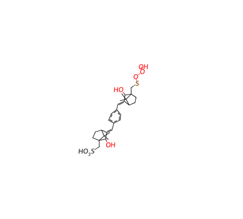 CC1(C)C2CCC1(CSOOO)C(O)/C2=C/c1ccc(/C=C2\C3CCC(CS(=O)(=O)O)(C2O)C3(C)C)cc1